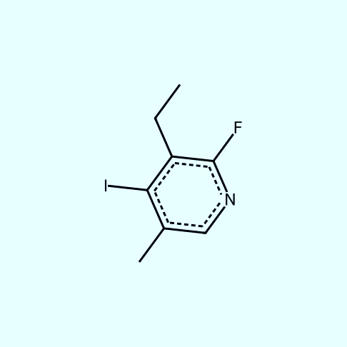 CCc1c(F)ncc(C)c1I